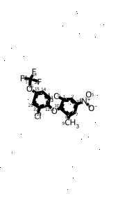 Cc1cc([N+](=O)[O-])cc(C)c1Oc1ccc(OC(F)(F)F)cc1Cl